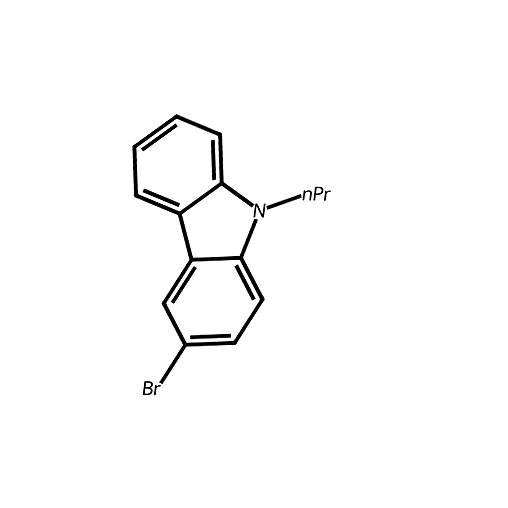 CCCn1c2ccccc2c2cc(Br)ccc21